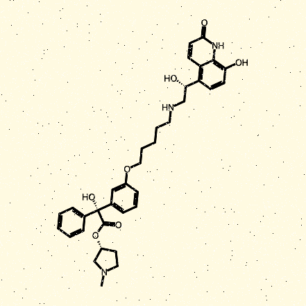 CN1CC[C@@H](OC(=O)[C@@](O)(c2ccccc2)c2cccc(OCCCCCNC[C@H](O)c3ccc(O)c4[nH]c(=O)ccc34)c2)C1